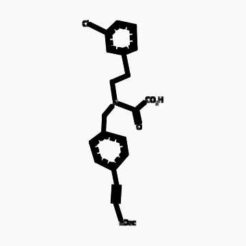 CCCCCCCCCCC#Cc1ccc(CN(CCc2cccc(Cl)c2)C(=O)C(=O)O)cc1